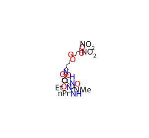 CCCC(=N)c1nc(-c2cc(S(=O)(=O)N3CC(CCCOC(=O)CCC(CO[N+](=O)[O-])O[N+](=O)[O-])C3)ccc2OCC)[nH]c(=O)c1NC